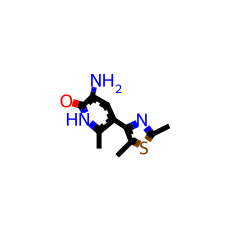 Cc1nc(-c2cc(N)c(=O)[nH]c2C)c(C)s1